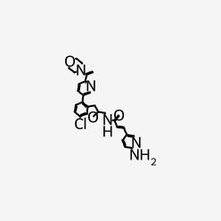 C=C(c1ccc(-c2ccc(Cl)c3c2CC(CNC(=O)/C=C/c2ccc(N)nc2)O3)cn1)N1CCOCC1